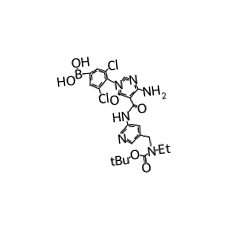 CCN(Cc1cncc(NC(=O)c2c(N)ncn(-c3c(Cl)cc(B(O)O)cc3Cl)c2=O)c1)C(=O)OC(C)(C)C